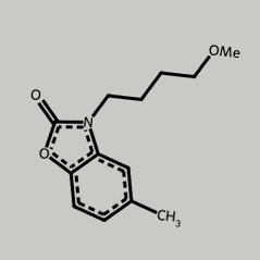 COCCCCn1c(=O)oc2ccc(C)cc21